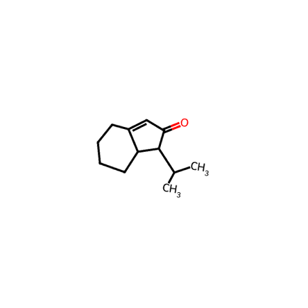 CC(C)C1C(=O)C=C2CCCCC21